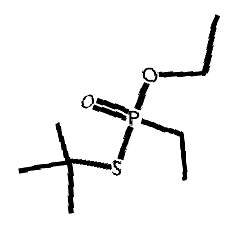 CCOP(=O)(CC)SC(C)(C)C